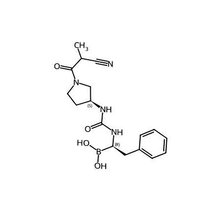 CC(C#N)C(=O)N1CC[C@H](NC(=O)N[C@@H](Cc2ccccc2)B(O)O)C1